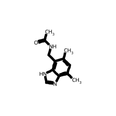 CC(=O)NCc1c(C)cc(C)c2nc[nH]c12